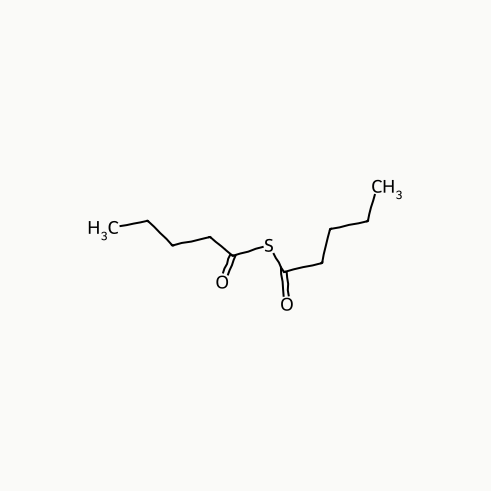 CCCCC(=O)SC(=O)CCCC